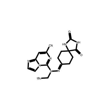 CC(C)(C)CN(N=C1CCC2(CC1)NC(=O)NC2=O)c1nc(C#N)cc2nccn12